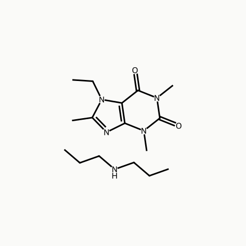 CCCNCCC.CCn1c(C)nc2c1c(=O)n(C)c(=O)n2C